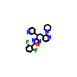 Fc1cccc(F)c1-c1nc(C(Cc2cccnc2N2CCCCC2)c2cccnc2)no1